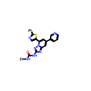 CCNC(=O)Nc1nc2cc(-c3cccnc3)cc(-c3cnc(C(C)C)s3)n2n1